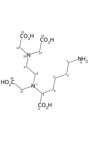 NCCCCC(C(=O)O)N(CCN(CC(=O)O)CC(=O)O)CC(=O)O